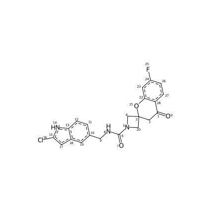 O=C1CC2(CN(C(=O)NCc3ccc4[nH]c(Cl)cc4c3)C2)Oc2cc(F)ccc21